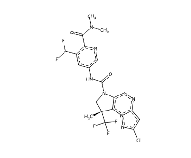 CN(C)C(=O)c1ncc(NC(=O)N2C[C@@](C)(C(F)(F)F)c3c2cnc2cc(Cl)nn32)cc1C(F)F